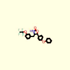 O=C1NC(Cc2cccc(OC(F)(F)C(F)F)c2)C(c2ccc(Oc3ccccc3)cc2)O1